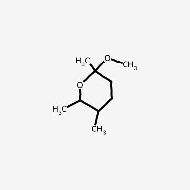 COC1(C)CCC(C)C(C)O1